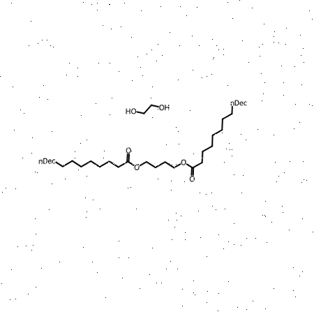 CCCCCCCCCCCCCCCCCC(=O)OCCCCOC(=O)CCCCCCCCCCCCCCCCC.OCCO